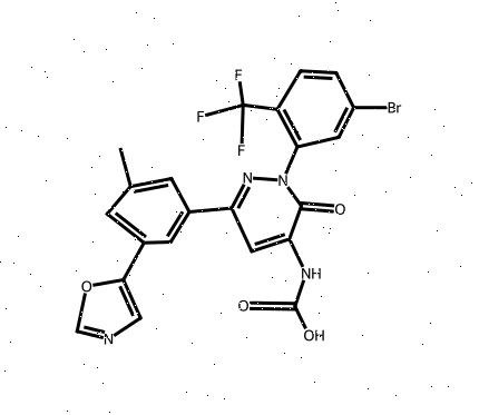 Cc1cc(-c2cc(NC(=O)O)c(=O)n(-c3cc(Br)ccc3C(F)(F)F)n2)cc(-c2cnco2)c1